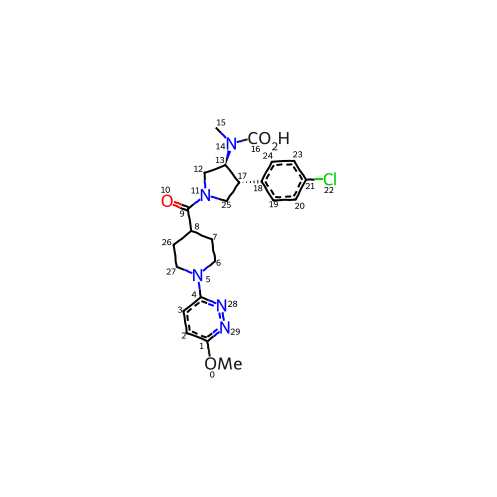 COc1ccc(N2CCC(C(=O)N3C[C@@H](N(C)C(=O)O)[C@H](c4ccc(Cl)cc4)C3)CC2)nn1